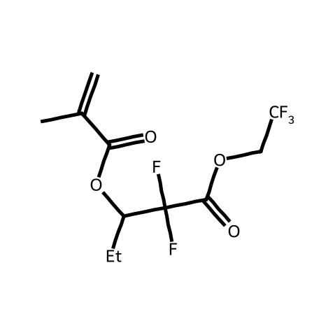 C=C(C)C(=O)OC(CC)C(F)(F)C(=O)OCC(F)(F)F